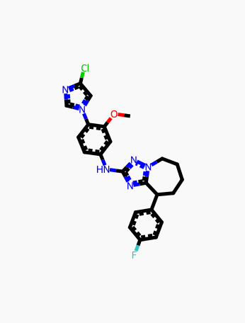 COc1cc(Nc2nc3n(n2)CCCCC3c2ccc(F)cc2)ccc1-n1cnc(Cl)c1